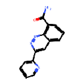 NC(=O)c1cccc2cc(-c3ccccn3)nnc12